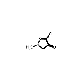 CN1CC(=O)C(Cl)S1